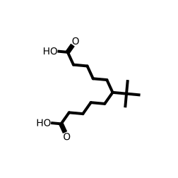 CC(C)(C)C(CCCCC(=O)O)CCCCC(=O)O